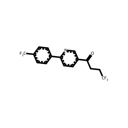 O=C(CCC(F)(F)F)c1ccc(-c2ccc(C(F)(F)F)cc2)nc1